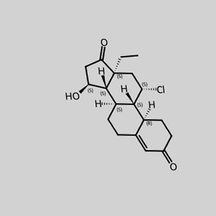 CC[C@]12C[C@H](Cl)[C@H]3[C@@H](CCC4=CC(=O)CC[C@@H]43)[C@@H]1[C@@H](O)CC2=O